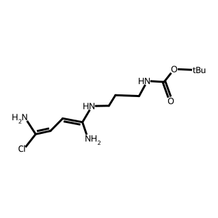 CC(C)(C)OC(=O)NCCCN/C(N)=C/C=C(\N)Cl